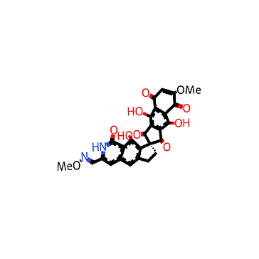 CO/N=C/c1cc2cc3c(c(O)c2c(=O)[nH]1)[C@@]1(CC3)C(=O)c2c(O)c3c(c(O)c2C1=O)C(=O)C(OC)=CC3=O